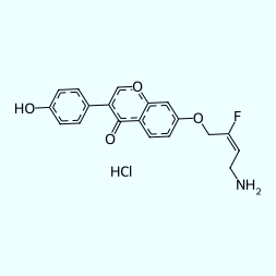 Cl.NC/C=C(/F)COc1ccc2c(=O)c(-c3ccc(O)cc3)coc2c1